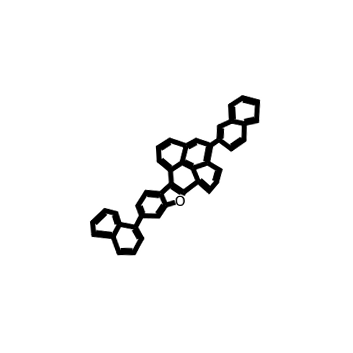 c1ccc2cc(-c3cc4cccc5c6c7ccc(-c8cccc9ccccc89)cc7oc6c6cccc3c6c45)ccc2c1